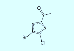 CC(=O)c1cc(Br)c(Cl)s1